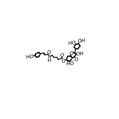 O=C(/C=C/c1ccc(O)cc1)NCCCCC(=O)Oc1cc(O)c2c(=O)c(O)c(-c3ccc(O)c(O)c3)oc2c1